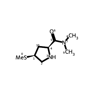 CS[C@@H]1CN[C@H](C(=O)N(C)C)C1